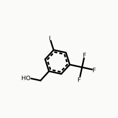 OCc1cc(I)cc(C(F)(F)F)c1